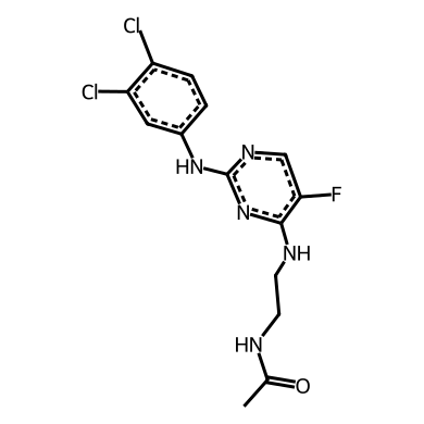 CC(=O)NCCNc1nc(Nc2ccc(Cl)c(Cl)c2)ncc1F